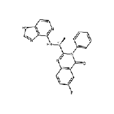 C[C@H](Nc1nccc2[nH]cnc12)c1nc2ccc(F)cc2c(=O)n1-c1ccccc1